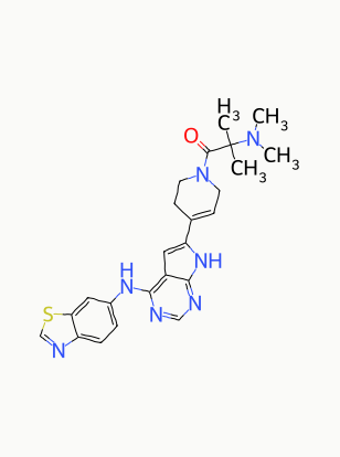 CN(C)C(C)(C)C(=O)N1CC=C(c2cc3c(Nc4ccc5ncsc5c4)ncnc3[nH]2)CC1